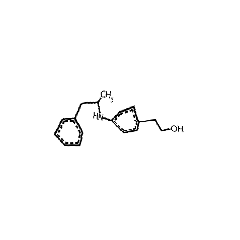 CC(Cc1ccccc1)Nc1ccc(CCO)cc1